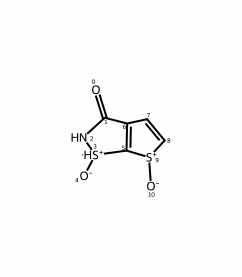 O=C1N[SH+]([O-])c2c1cc[s+]2[O-]